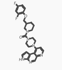 O=C(N1CCN(c2ccnc3cnc4[nH]ccc4c23)CC1)N1CCCC(COc2ccc(F)cc2F)C1